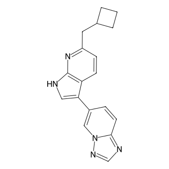 c1nc2ccc(-c3c[nH]c4nc(CC5CCC5)ccc34)cn2n1